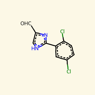 O=Cc1c[nH]c(-c2cc(Cl)ccc2Cl)n1